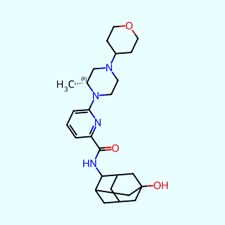 C[C@@H]1CN(C2CCOCC2)CCN1c1cccc(C(=O)NC2C3CC4CC2CC(O)(C4)C3)n1